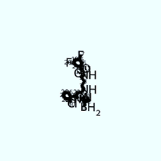 Bc1cnn2c(NCCCNS(=O)(=O)c3cc(F)cc(F)c3)cc(-c3ccccc3Cl)nc12